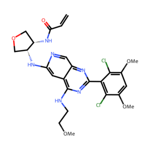 C=CC(=O)N[C@H]1COC[C@H]1Nc1cc2c(NCCOC)nc(-c3c(Cl)c(OC)cc(OC)c3Cl)nc2cn1